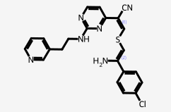 N#C/C(=C/S/C=C(\N)c1ccc(Cl)cc1)c1ccnc(NCCc2cccnc2)n1